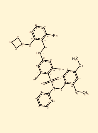 COc1ccc(CN(c2ccccn2)S(=O)(=O)c2c(F)cc(NCc3c(F)cccc3CN3CCC3)cc2F)c(OC)c1